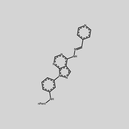 CCCCCNc1cccc(-n2ncc3c(N/N=C/c4ccncc4)ncnc32)c1